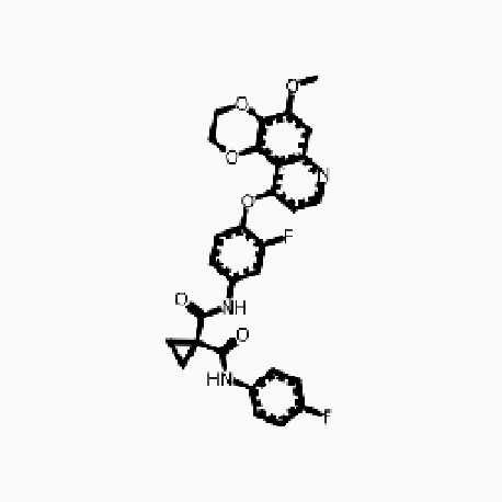 COc1cc2nccc(Oc3ccc(NC(=O)C4(C(=O)Nc5ccc(F)cc5)CC4)cc3F)c2c2c1OCCO2